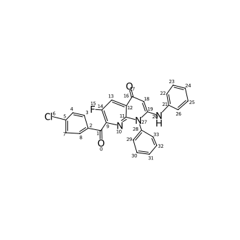 O=C(c1ccc(Cl)cc1)c1nc2c(cc1F)c(=O)cc(Nc1ccccc1)n2-c1ccccc1